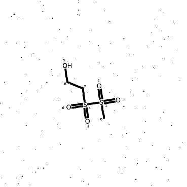 CS(=O)(=O)S(=O)(=O)CCO